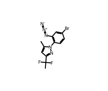 Cc1cc(C(C)(F)F)nn1-c1ccc(Br)cc1N=[N+]=[N-]